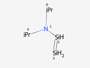 CC(C)N([SiH]=[SiH2])C(C)C